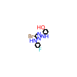 Oc1cccc(Nc2ncc(Br)c(Nc3ccc(F)cc3)n2)c1